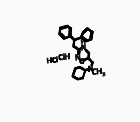 CN(CC1CNC(CC(c2ccccc2)c2ccccc2)=NO1)C1CCCCC1.Cl.Cl